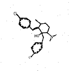 CC1CCC(N(C)C)C(O)(Cc2ccc(Cl)cc2)C1=Cc1ccc(Cl)cc1